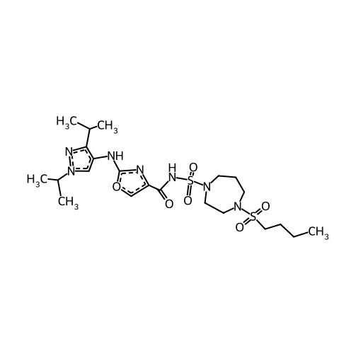 CCCCS(=O)(=O)N1CCCN(S(=O)(=O)NC(=O)c2coc(Nc3cn(C(C)C)nc3C(C)C)n2)CC1